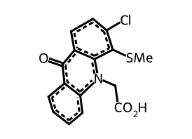 CSc1c(Cl)ccc2c(=O)c3ccccc3n(CC(=O)O)c12